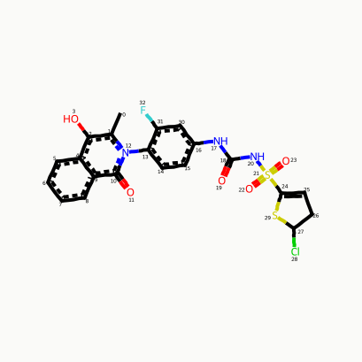 Cc1c(O)c2ccccc2c(=O)n1-c1ccc(NC(=O)NS(=O)(=O)C2=CCC(Cl)S2)cc1F